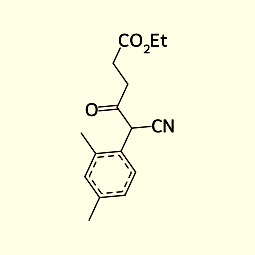 CCOC(=O)CCC(=O)C(C#N)c1ccc(C)cc1C